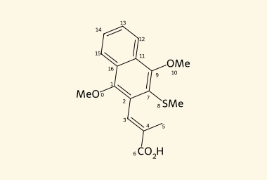 COc1c(C=C(C)C(=O)O)c(SC)c(OC)c2ccccc12